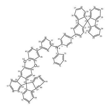 c1ccc(N(c2ccc(-c3ccc4c(c3)-c3ccccc3C43c4ccccc4-c4ccccc43)cc2)c2cccc(-c3ccc4c(c3)Oc3cc5c(cc3O4)-c3ccccc3C53c4ccccc4-c4ccccc43)c2)cc1